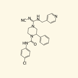 N#C/N=C(/NCc1ccncc1)N1CCN(C(=O)Nc2ccc(Cl)cc2)C(c2ccccc2)C1